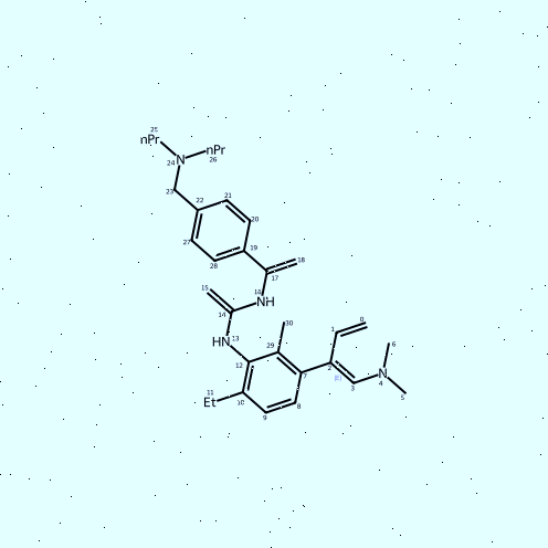 C=C/C(=C\N(C)C)c1ccc(CC)c(NC(=C)NC(=C)c2ccc(CN(CCC)CCC)cc2)c1C